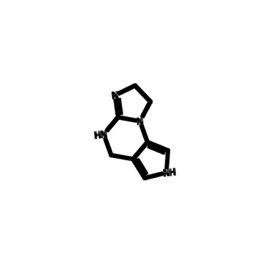 c1[nH]cc2c1CNC1=NCCN12